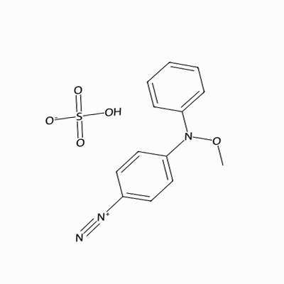 CON(c1ccccc1)c1ccc([N+]#N)cc1.O=S(=O)([O-])O